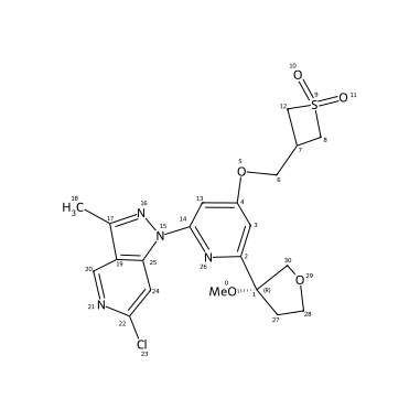 CO[C@@]1(c2cc(OCC3CS(=O)(=O)C3)cc(-n3nc(C)c4cnc(Cl)cc43)n2)CCOC1